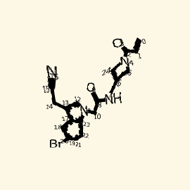 C=CC(=O)N1CC(NC(=O)Cn2cc(CC#N)c3cc(Br)ccc32)C1